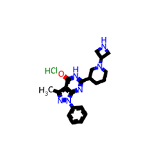 Cc1nn(-c2ccccc2)c2nc(C3CCCN(C4CNC4)C3)[nH]c(=O)c12.Cl